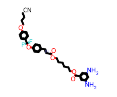 N#CCCCCOc1ccc(C(F)(F)Oc2ccc(/C=C/C(=O)OCCCCCCOC(=O)c3cc(N)cc(N)c3)cc2)cc1